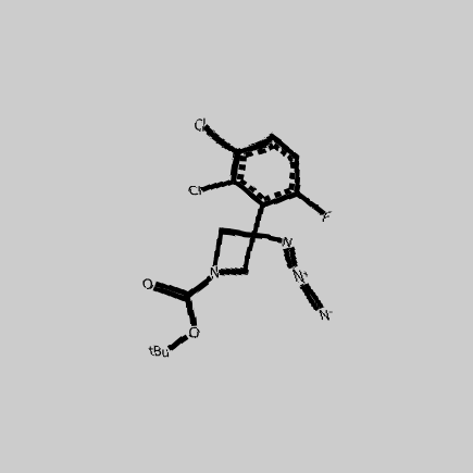 CC(C)(C)OC(=O)N1CC(N=[N+]=[N-])(c2c(F)ccc(Cl)c2Cl)C1